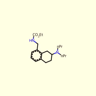 CCCN(CCC)C1CCc2cccc(CNC(=O)OCC)c2C1